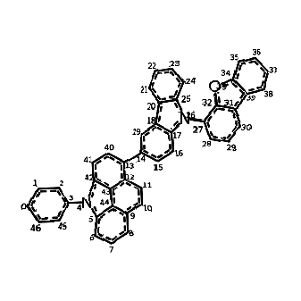 c1ccc(-n2c3cccc4ccc5c(-c6ccc7c(c6)c6ccccc6n7-c6cccc7c6oc6ccccc67)ccc2c5c43)cc1